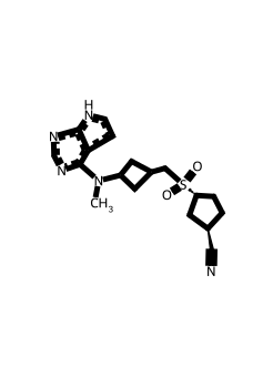 CN(c1ncnc2[nH]ccc12)C1CC(CS(=O)(=O)[C@@H]2CC[C@@H](C#N)C2)C1